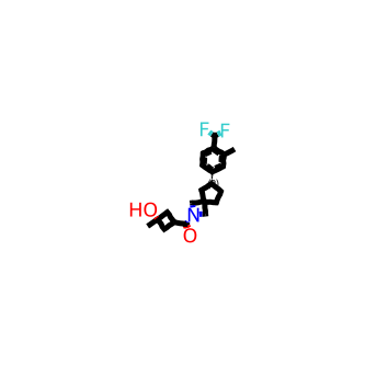 Cc1cc([C@@H]2CCC3(C2)CN(C(=O)C2CC(C)(O)C2)C3)ccc1C(F)F